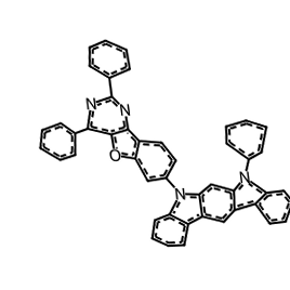 c1ccc(-c2nc(-c3ccccc3)c3oc4cc(-n5c6ccccc6c6cc7c8ccccc8n(-c8ccccc8)c7cc65)ccc4c3n2)cc1